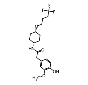 COc1cc(CC(=O)N[C@H]2CC[C@H](OCCCC(F)(F)F)CC2)ccc1O